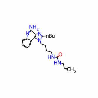 C=CCNC(=O)NCCCCn1c(CCCC)nc2c(N)nc3ccccc3c21